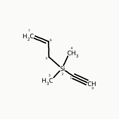 C#C[Si](C)(C)CC=C